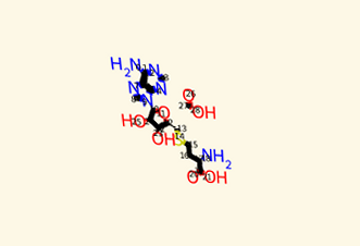 Nc1ncnc2c1ncn2[C@@H]1O[C@H](CSCC[C@H](N)C(=O)O)[C@@H](O)[C@H]1O.O=CO